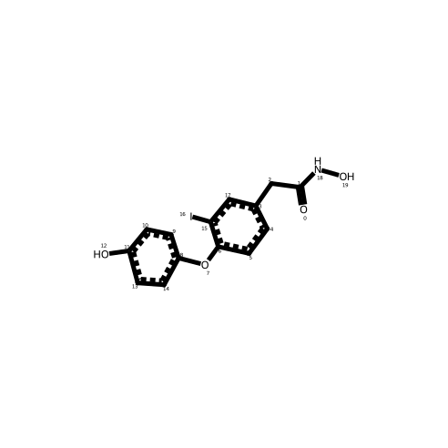 O=C(Cc1ccc(Oc2ccc(O)cc2)c(I)c1)NO